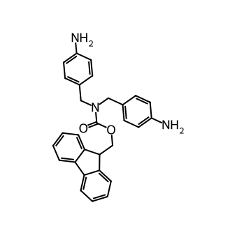 Nc1ccc(CN(Cc2ccc(N)cc2)C(=O)OCC2c3ccccc3-c3ccccc32)cc1